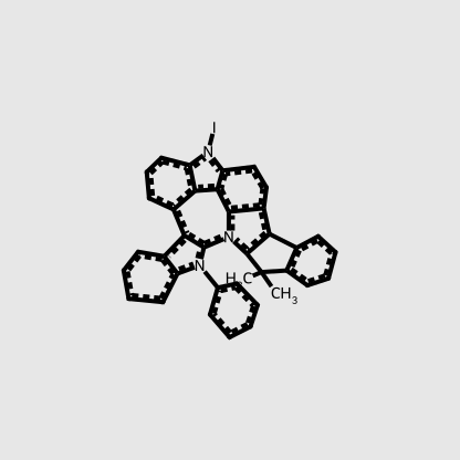 CC1(C)c2ccccc2-c2c1n1c3c2ccc2c3c3c(cccc3n2I)c2c3ccccc3n(-c3ccccc3)c21